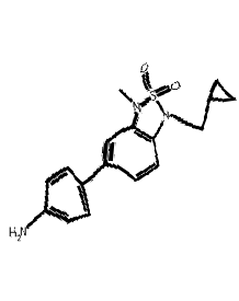 CN1c2cc(-c3ccc(N)cc3)ccc2N(CC2CC2)S1(=O)=O